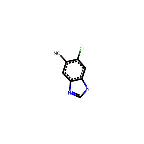 N#Cc1cc2c(cc1Cl)[N]C=N2